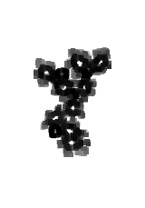 c1cc(-c2cccc3oc4c5ccccc5ccc4c23)cc(N(c2cccc(-n3c4ccccc4c4ccccc43)c2)c2ccc3c(c2)oc2ccccc23)c1